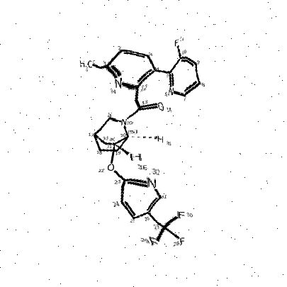 Cc1ccc(-c2ncccc2F)c(C(=O)N2CC3CC[C@H]2[C@H](Oc2ccc(C(F)(F)F)cn2)C3)n1